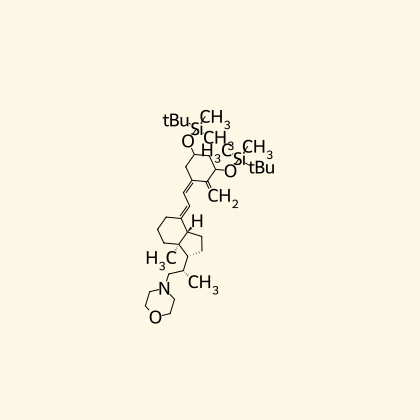 C=C1/C(=C\C=C2/CCC[C@]3(C)[C@@H]([C@H](C)CN4CCOCC4)CC[C@@H]23)CC(O[Si](C)(C)C(C)(C)C)CC1O[Si](C)(C)C(C)(C)C